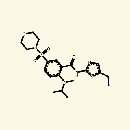 CCc1cnc(NC(=O)c2cc(S(=O)(=O)N3CCOCC3)ccc2N(C)C(C)C)s1